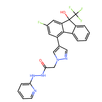 O=C(Cn1cc(-c2cc(F)cc3c2-c2ccccc2C3(O)C(F)(F)F)cn1)NNc1ccccn1